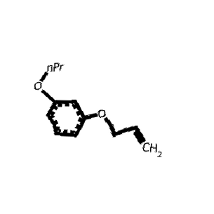 C=CCOc1cccc(OCCC)c1